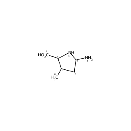 CC1CC(N)NC1C(=O)O